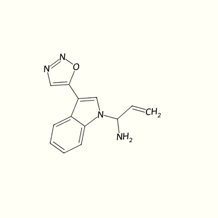 C=CC(N)n1cc(-c2cnno2)c2ccccc21